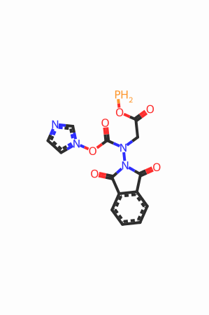 O=C(CN(C(=O)On1ccnc1)N1C(=O)c2ccccc2C1=O)OP